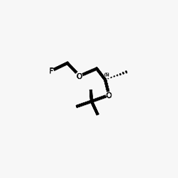 C[C@@H](COCF)OC(C)(C)C